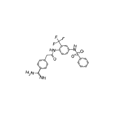 N=C(N)c1ccc(CC(=O)Nc2ccc(NS(=O)(=O)c3ccccc3)cc2C(F)(F)F)cc1